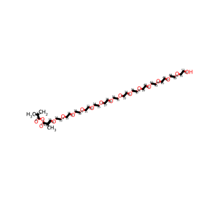 C=C(C)C(=O)OC(=O)C(C)=COCCOCCOCCOCCOCCOCCOCCOCCOCCOCCOCCOCCOCCOCCO